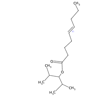 CCC/C=C/CCCC(=O)OC(C(C)C)C(C)C